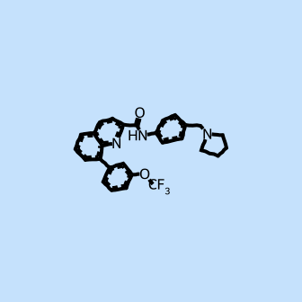 O=C(Nc1ccc(CN2CCCC2)cc1)c1ccc2cccc(-c3cccc(OC(F)(F)F)c3)c2n1